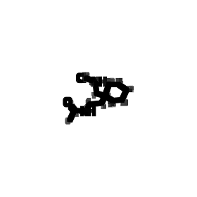 CC(=O)NCCC1(CNCl)CCCCC1